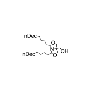 CCCCCCCCCCCCCCC1OCC2(CO)COC(CCCCCCCCCCCCCC)N12